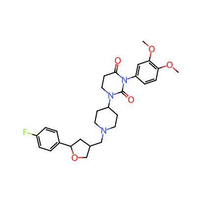 COc1ccc(N2C(=O)CCN(C3CCN(CC4COC(c5ccc(F)cc5)C4)CC3)C2=O)cc1OC